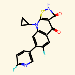 O=c1[nH]sc2c1c(=O)c1cc(F)c(-c3ccc(F)nc3)cc1n2C1CC1